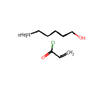 C=CC(=O)Cl.CCCCCCCCCCCCO